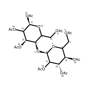 CC(=O)OCC1O[C@H](O[C@@H]2C(COC(C)=O)O[C@H](OC(C)=O)C(OC(C)=O)[C@@H]2OC(C)=O)C(OC(C)=O)[C@@H](OC(C)=O)[C@@H]1OC(C)=O